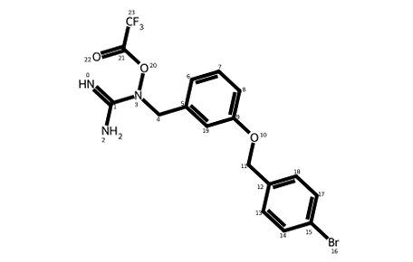 N=C(N)N(Cc1cccc(OCc2ccc(Br)cc2)c1)OC(=O)C(F)(F)F